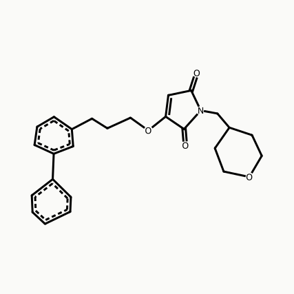 O=C1C=C(OCCCc2cccc(-c3ccccc3)c2)C(=O)N1CC1CCOCC1